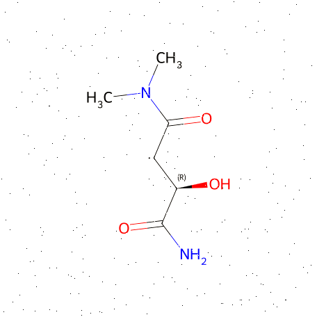 CN(C)C(=O)[CH][C@@H](O)C(N)=O